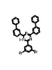 Brc1cc(Br)cc(C2=NC(c3cccc(-c4ccccc4)c3)=NC(C3C=C(c4ccccc4)C=CC3)N2)c1